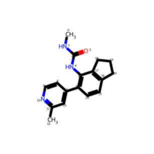 CNC(=O)Nc1c(-c2ccnc(C)c2)ccc2c1CCC2